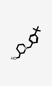 CC(C)(C)c1ccc(CN2CCCC(CO)C2)cc1